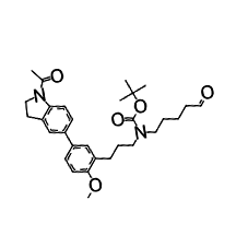 COc1ccc(-c2ccc3c(c2)CCN3C(C)=O)cc1CCCN(CCCCC=O)C(=O)OC(C)(C)C